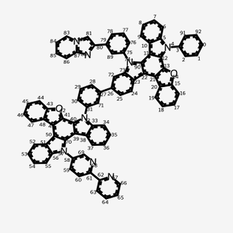 c1ccc(-n2c3ccccc3c3c2c2oc4ccccc4c2c2c4ccc(-c5cccc(-n6c7ccccc7c7c6c6oc8ccccc8c6c6c8ccccc8n(-c8ccc(-c9ccccn9)nc8)c67)c5)cc4n(-c4cccc(-c5cn6ccccc6n5)c4)c23)cc1